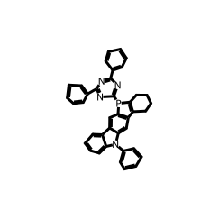 c1ccc(-c2nc(-c3ccccc3)nc(-p3c4c(c5cc6c(cc53)c3ccccc3n6-c3ccccc3)CCCC4)n2)cc1